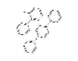 Cc1ccccc1-c1ccccc1.c1ccc(-c2ccc(-c3ccccc3)cc2)cc1